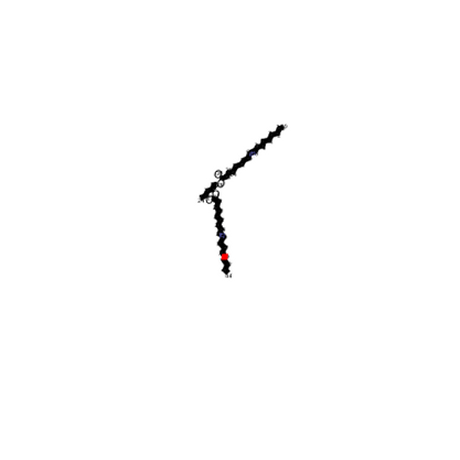 CCCCCCCC/C=C/CCCCCCCC(=O)OCC(CCC)OC(=O)CCCCCCC/C=C/CCCCCCCC